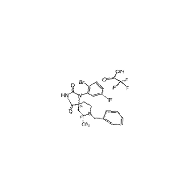 C[C@@H]1C[C@@]2(CCN1Cc1ccccc1)C(=O)NC(=O)N2c1cc(F)ccc1Br.O=C(O)C(F)(F)F